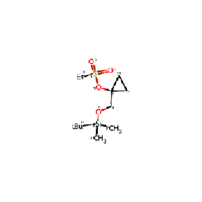 CCS(=O)(=O)OC1(CO[Si](C)(C)C(C)(C)C)CC1